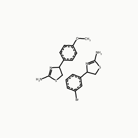 COc1ccc(C2CSC(N)=N2)cc1.NC1=NC(c2cccc(Br)c2)CS1